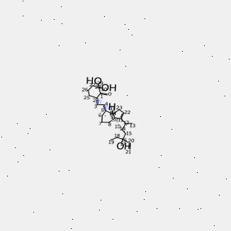 C=C1/C(=C\C=C2/CCC[C@]3(C)C(C(C)CCC(O)(CC)CC)=CC[C@@H]23)CCCC1(O)O